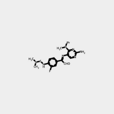 CC(C)N(C)c1nc(N)ncc1/N=C(\C=O)c1ccc(NSN(C)C)c(F)c1